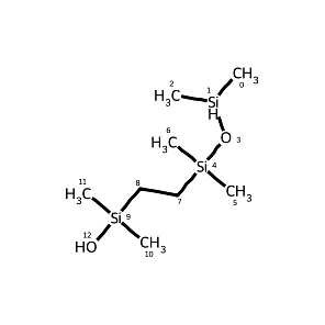 C[SiH](C)O[Si](C)(C)CC[Si](C)(C)O